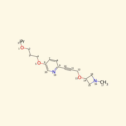 CC(C)OCCCOc1ccc(C#CCOC2CN(C)C2)nc1